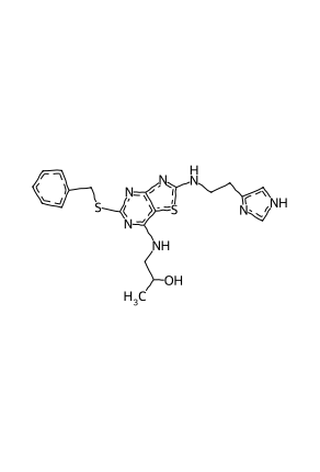 CC(O)CNc1nc(SCc2ccccc2)nc2nc(NCCc3c[nH]cn3)sc12